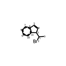 CC(Br)C1C=Cc2cc[c]cc21